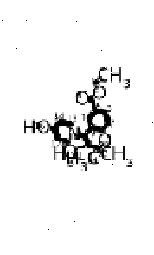 CCOC(=O)c1ccc2c(c1)C(n1ccc(O)cc1=O)=C(C)C(C)(C)O2